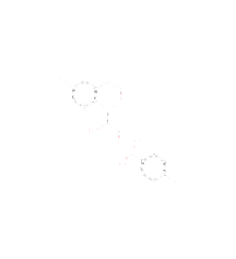 Cc1ccc(S(=O)(=O)OCC(O)C2OCCc3cc(F)ccc32)cc1